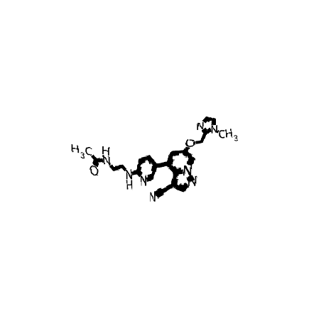 CC(=O)NCCNc1ccc(-c2cc(OCc3nccn3C)cn3ncc(C#N)c23)cn1